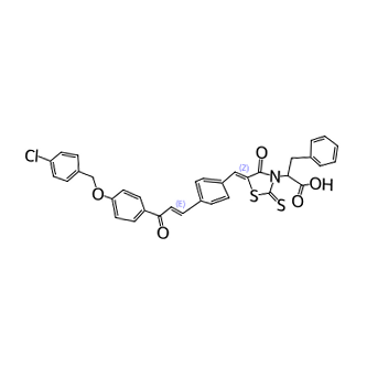 O=C(/C=C/c1ccc(/C=C2\SC(=S)N(C(Cc3ccccc3)C(=O)O)C2=O)cc1)c1ccc(OCc2ccc(Cl)cc2)cc1